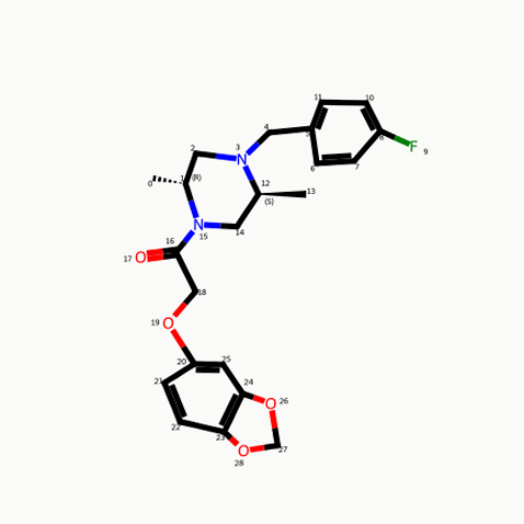 C[C@@H]1CN(Cc2ccc(F)cc2)[C@@H](C)CN1C(=O)COc1ccc2c(c1)OCO2